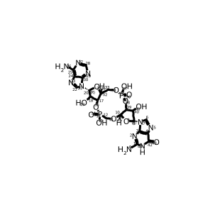 Nc1nc2c(ncn2[C@@H]2O[C@@H]3OCP(=O)(O)OC4C(O)[C@H](n5cnc6c(N)ncnc65)O[C@@H]4COP(=O)(O)OC3C2O)c(=O)[nH]1